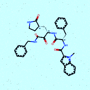 Cn1c(C(=O)N[C@@H](Cc2ccccc2)C(=O)N[C@@H](C[C@@H]2CCNC2=O)C(=O)C(=O)NCc2ccccc2)cc2ccccc21